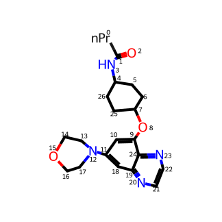 CCCC(=O)NC1CCC(Oc2cc(N3CCOCC3)cc3nccnc23)CC1